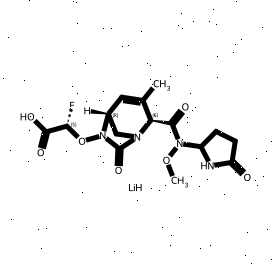 CON(C(=O)[C@@H]1C(C)=C[C@@H]2CN1C(=O)N2O[C@@H](F)C(=O)O)C1CCC(=O)N1.[LiH]